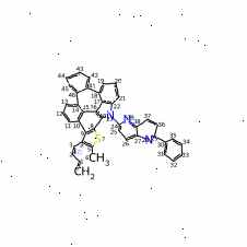 C=C/C=C\c1c(C)sc2c1c1cccc3c1c1c4c(cccc4n(-c4ccc5nc(-c6ccccc6)ccc5n4)c21)-c1ccccc1-3